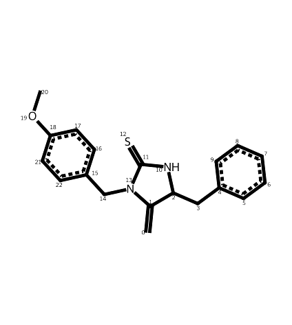 C=C1C(Cc2ccccc2)NC(=S)N1Cc1ccc(OC)cc1